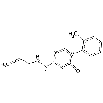 C=CCNNc1ncn(-c2ccccc2C)c(=O)n1